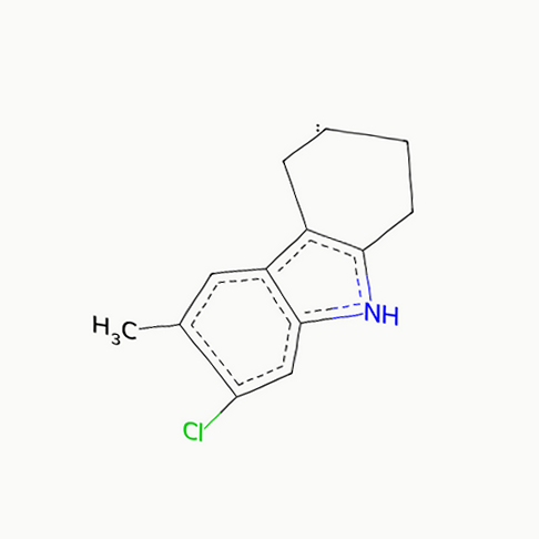 Cc1cc2c3c([nH]c2cc1Cl)CC[C]C3